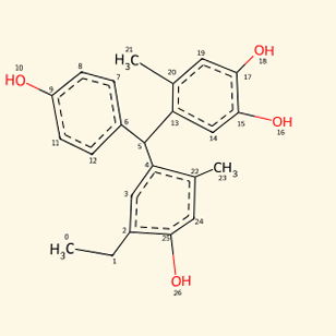 CCc1cc(C(c2ccc(O)cc2)c2cc(O)c(O)cc2C)c(C)cc1O